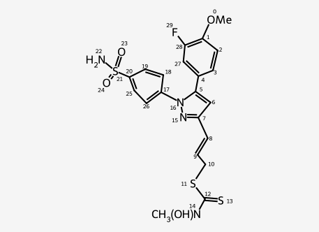 COc1ccc(-c2cc(C=CCSC(=S)N(C)O)nn2-c2ccc(S(N)(=O)=O)cc2)cc1F